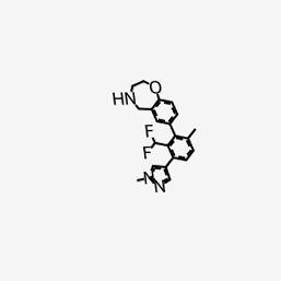 Cc1ccc(-c2cnn(C)c2)c(C(F)F)c1-c1ccc2c(c1)CNCCO2